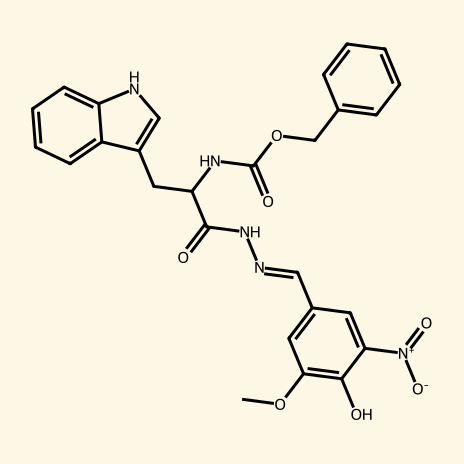 COc1cc(/C=N/NC(=O)C(Cc2c[nH]c3ccccc23)NC(=O)OCc2ccccc2)cc([N+](=O)[O-])c1O